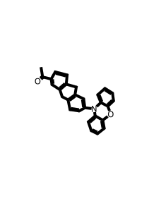 CC(=O)c1ccc2c(c1)Cc1ccc(N3c4ccccc4Oc4ccccc43)cc1C2